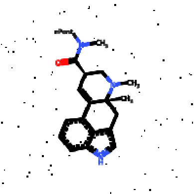 CCCCCN(C)C(=O)[C@@H]1C=C2c3cccc4[nH]cc(c34)C[C@@]2(C)N(C)C1